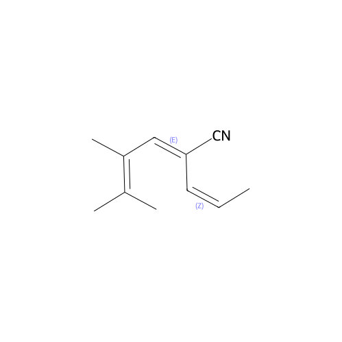 C/C=C\C(C#N)=C/C(C)=C(C)C